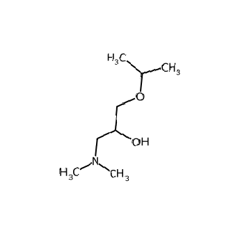 CC(C)OCC(O)CN(C)C